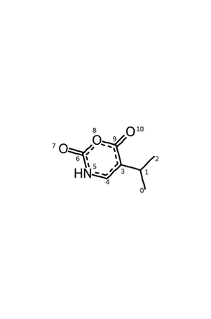 CC(C)c1c[nH]c(=O)oc1=O